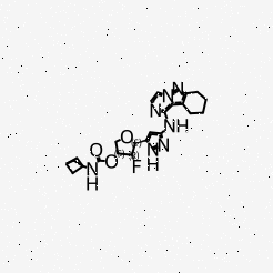 O=C(NC12CC(C1)C2)O[C@H]1CO[C@@H](c2cc(Nc3nccn4nc5c(c34)CCCC5)n[nH]2)[C@H]1F